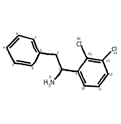 NC(Cc1ccccc1)c1cccc(Cl)c1Cl